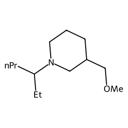 CCCC(CC)N1CCCC(COC)C1